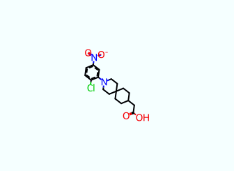 O=C(O)CC1CCC2(CC1)CCN(c1cc([N+](=O)[O-])ccc1Cl)CC2